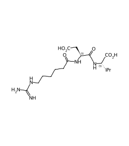 CC(C)[C@H](NC(=O)[C@H](CC(=O)O)NC(=O)CCCCCNC(=N)N)C(=O)O